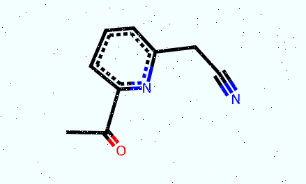 CC(=O)c1cccc(CC#N)n1